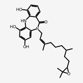 CC(=CCN1C(=O)c2cccc(O)c2Nc2c(O)cc(O)cc21)CCCC(C)CCC1OC1(C)C